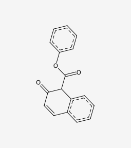 O=C1C=Cc2ccccc2C1C(=O)Oc1ccccc1